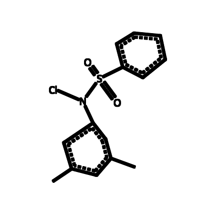 Cc1cc(C)cc(N(Cl)S(=O)(=O)c2ccccc2)c1